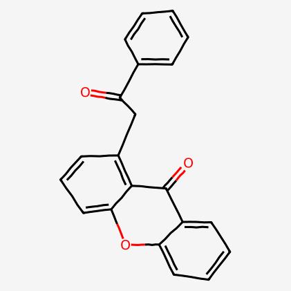 O=C(Cc1cccc2oc3ccccc3c(=O)c12)c1ccccc1